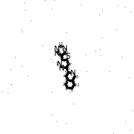 c1ccc2cc(-c3cc4sc5ncnnc5c4nn3)ncc2c1